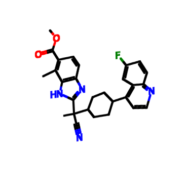 COC(=O)c1ccc2nc(C(C)(C#N)C3CCC(c4ccnc5ccc(F)cc45)CC3)[nH]c2c1C